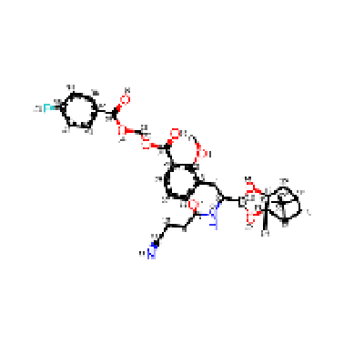 COc1c(CC(NC(=O)CCC#N)B2OC3CC4CC(C4(C)C)C3(C)O2)cccc1C(=O)OCOC(=O)c1ccc(F)cc1